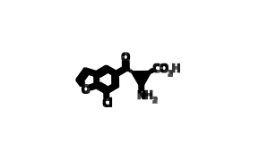 NC1[C@H](C(=O)O)[C@H]1C(=O)c1cc(Cl)c2occc2c1